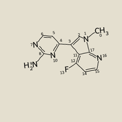 Cn1cc(-c2ccnc(N)n2)c2c(F)ccnc21